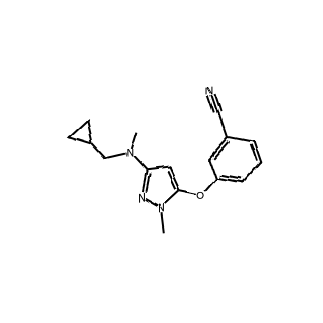 CN(CC1CC1)c1cc(Oc2cccc(C#N)c2)n(C)n1